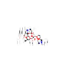 CN1C(C)(C)CC(OC(=O)C(Cc2ccccc2)(Cc2cc(C(C)(C)C)c(O)c(C(C)(C)C)c2)C(=O)OC2CC(C)(C)N(C)C(C)(C)C2)CC1(C)C